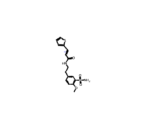 COc1ccc(CCNC(=O)/C=C/c2cccs2)cc1S(N)(=O)=O